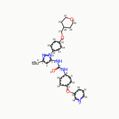 CC(C)(C)c1cc(NC(=O)Nc2ccc(Oc3cccnc3)cc2)n(-c2ccc(OCC3CCOCC3)cc2)n1